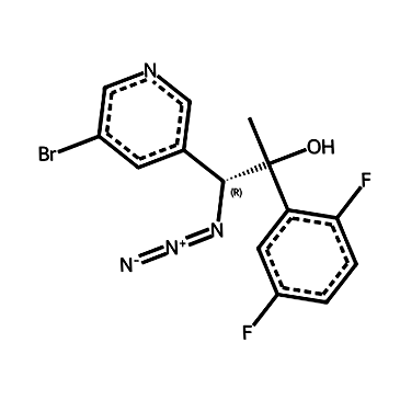 CC(O)(c1cc(F)ccc1F)[C@H](N=[N+]=[N-])c1cncc(Br)c1